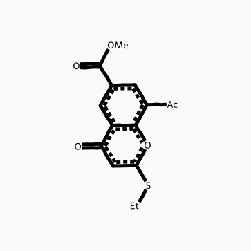 CCSc1cc(=O)c2cc(C(=O)OC)cc(C(C)=O)c2o1